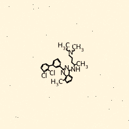 CCN(CC)CCCC(C)Nc1nc(-c2cccc(-c3cccc(Cl)c3Cl)c2)nc2c(C)cccc12